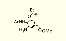 CCC(CC)O[C@@H]1CC(COOC)=C[C@H](N)[C@H]1NC(C)=O